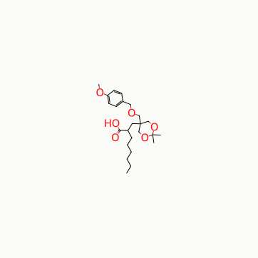 CCCCCCC(CC1(COCc2ccc(OC)cc2)COC(C)(C)OC1)C(=O)O